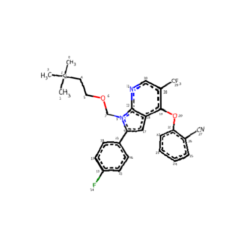 C[Si](C)(C)CCOCn1c(-c2ccc(F)cc2)cc2c(Oc3ccccc3C#N)c(C(F)(F)F)cnc21